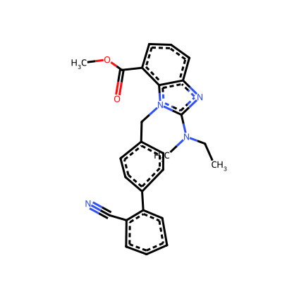 CCN(C)c1nc2cccc(C(=O)OC)c2n1Cc1ccc(-c2ccccc2C#N)cc1